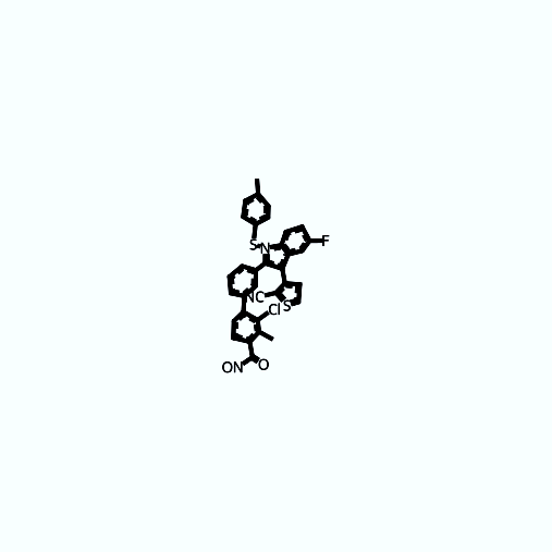 Cc1ccc(Sn2c(-c3cccc(-c4ccc(C(=O)N=O)c(C)c4Cl)c3)c(-c3ccsc3C#N)c3cc(F)ccc32)cc1